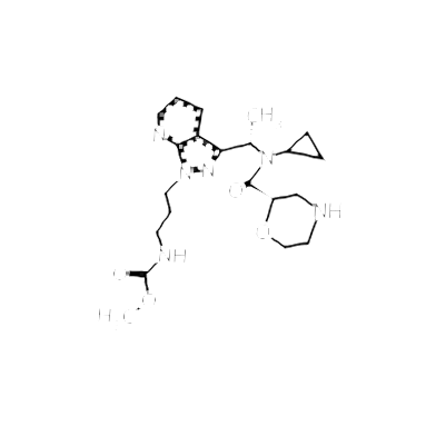 COC(=O)NCCCn1nc([C@H](C)N(C(=O)[C@H]2CNCCO2)C2CC2)c2cccnc21